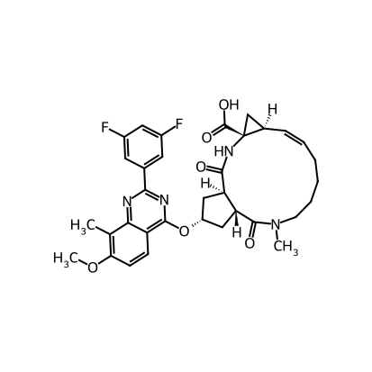 COc1ccc2c(O[C@@H]3C[C@H]4C(=O)N[C@]5(C(=O)O)C[C@H]5/C=C\CCCCN(C)C(=O)[C@@H]4C3)nc(-c3cc(F)cc(F)c3)nc2c1C